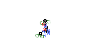 O=C(NCc1ccc(Cl)c(Cl)c1)c1cncnc1C1CCN(C(=O)Cc2c(Cl)cccc2Cl)CC1